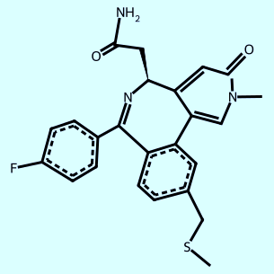 CSCc1ccc2c(c1)C(=C/N(C)C)/C(=C\C=O)[C@H](CC(N)=O)N=C2c1ccc(F)cc1